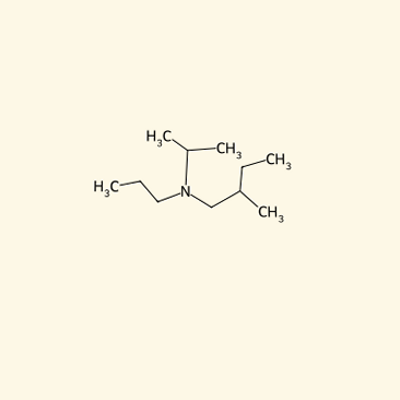 CCCN(CC(C)CC)C(C)C